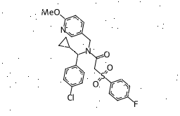 COc1ccc(CN(C(=O)CS(=O)(=O)c2ccc(F)cc2)C(c2ccc(Cl)cc2)C2CC2)cn1